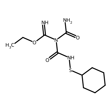 CCOC(=N)N(C(N)=O)C(=O)NSC1CCCCC1